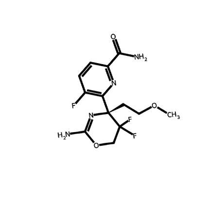 COCC[C@]1(c2nc(C(N)=O)ccc2F)N=C(N)OCC1(F)F